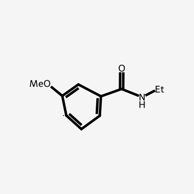 CCNC(=O)c1cc[c]c(OC)c1